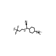 [C-]#[N+]C1CCC(C(C#N)SCCC(F)(F)F)CC1